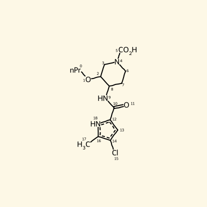 CCCOC1CN(C(=O)O)CCC1NC(=O)c1cc(Cl)c(C)[nH]1